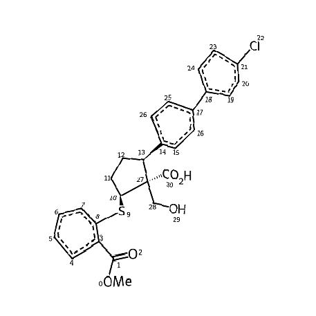 COC(=O)c1ccccc1S[C@H]1CC[C@@H](c2ccc(-c3ccc(Cl)cc3)cc2)[C@]1(CO)C(=O)O